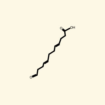 O=CCC/C=C/CC/C=C/CCC(=O)O